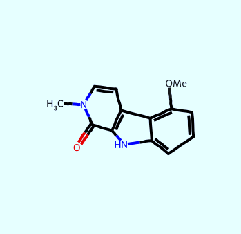 COc1cccc2[nH]c3c(=O)n(C)ccc3c12